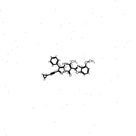 COc1cccc2oc(-c3c(C)[nH]c4c(-c5ccccc5)c(C#CC5CC5)nn4c3=O)nc12